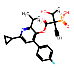 C#CC(C(=O)Oc1c(-c2ccc(F)cc2)cc(C2CC2)nc1C(C)C)(C(C)O)[PH](=O)O